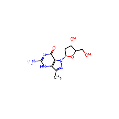 Cc1nn([C@H]2C[C@H](O)[C@@H](CO)O2)c2c(=O)nc(N)[nH]c12